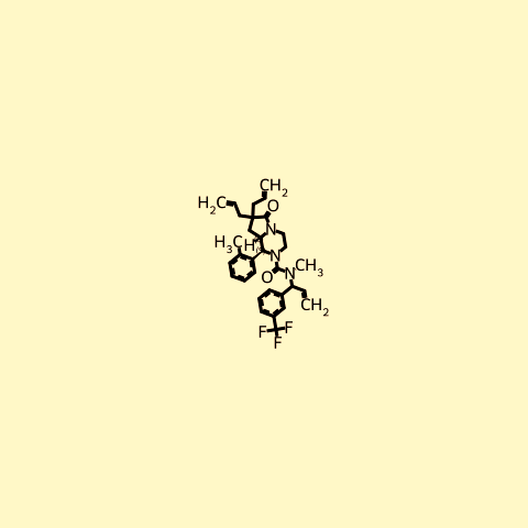 C=CCC1(CC=C)C[C@H]2[C@H](c3ccccc3C)N(C(=O)N(C)C(C=C)c3cccc(C(F)(F)F)c3)CCN2C1=O